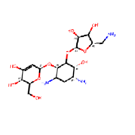 NC[C@H]1O[C@@H](OC2[C@H](O[C@@H]3C=C(O)[C@H](O)C(CO)O3)C(N)C[C@@H](N)[C@H]2O)[C@@H](O)C1O